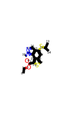 CCOC(=O)c1scc2cc(SC(C)C)c3cnn(C)c3c12